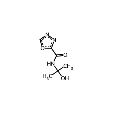 CC(C)(O)NC(=O)c1nnco1